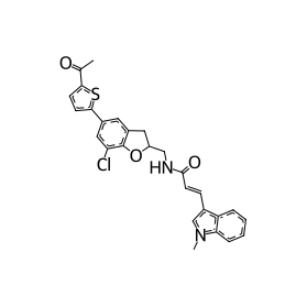 CC(=O)c1ccc(-c2cc(Cl)c3c(c2)CC(CNC(=O)/C=C/c2cn(C)c4ccccc24)O3)s1